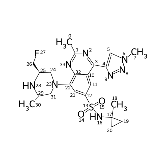 Cc1nc(-c2cn(C)nn2)c2cc(S(=O)(=O)NC3(C)CC3)cc(N3C[C@H](CF)N[C@@H](C)C3)c2n1